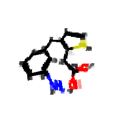 Nc1cccc(Cc2ccsc2CC(=O)O)c1